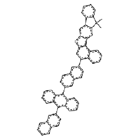 CC1(C)c2ccccc2-c2cc3sc4cc(-c5ccc6cc(-c7c8ccccc8c(-c8ccc9ccccc9c8)c8ccccc78)ccc6c5)c5ccccc5c4c3cc21